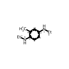 CCNc1ccc(NCC)c(C)c1